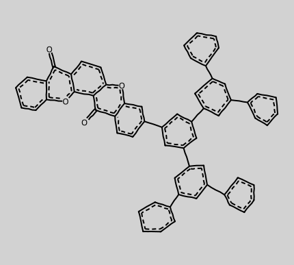 O=c1c2ccccc2oc2c1ccc1oc3cc(-c4cc(-c5cc(-c6ccccc6)cc(-c6ccccc6)c5)cc(-c5cc(-c6ccccc6)cc(-c6ccccc6)c5)c4)ccc3c(=O)c12